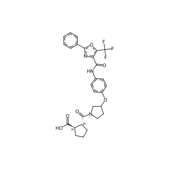 O=C(Nc1ccc(OC2CCN(C(=O)[C@@H]3CCC[C@H]3C(=O)O)C2)cc1)c1nc(-c2ccccc2)oc1C(F)(F)F